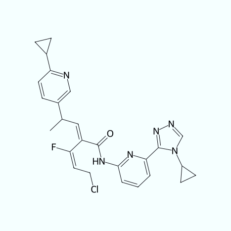 CC(/C=C(C(=O)Nc1cccc(-c2nncn2C2CC2)n1)\C(F)=C/CCl)c1ccc(C2CC2)nc1